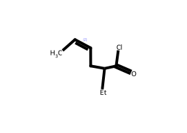 C/C=C\CC(CC)C(=O)Cl